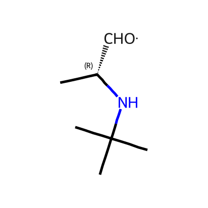 C[C@H]([C]=O)NC(C)(C)C